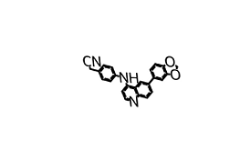 N#CCc1ccc(Nc2ccnc3ccc(-c4ccc5c(c4)OCO5)cc23)cc1